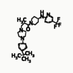 CC(CN1CCN(c2ccc(C(C)(C)C)cc2)CC1)C(=O)N1CCC(Nc2ccc(C(F)(F)F)cn2)CC1